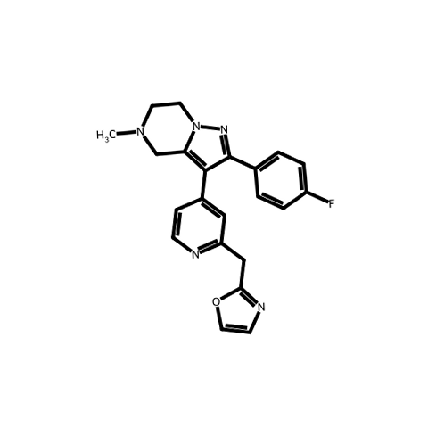 CN1CCn2nc(-c3ccc(F)cc3)c(-c3ccnc(Cc4ncco4)c3)c2C1